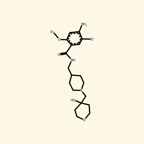 CCOc1cc(N)c(Cl)cc1C(=O)NCC1CCN(CC2(O)CCOCC2)CC1